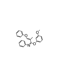 COc1cccc(OC(=N/c2ccccc2)/C(C)=C/Oc2ccccc2)c1